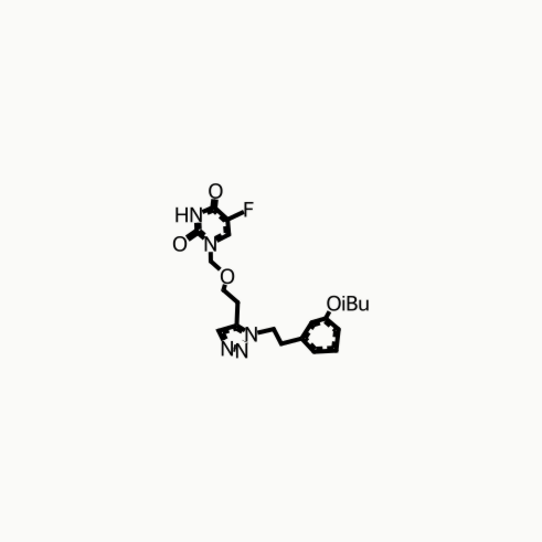 CC(C)COc1cccc(CCn2nncc2CCOCn2cc(F)c(=O)[nH]c2=O)c1